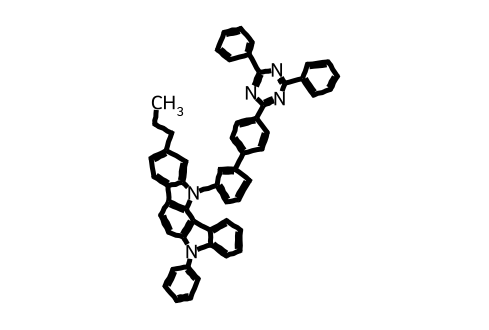 CCCc1ccc2c3ccc4c(c5ccccc5n4-c4ccccc4)c3n(-c3cccc(-c4ccc(-c5nc(-c6ccccc6)nc(-c6ccccc6)n5)cc4)c3)c2c1